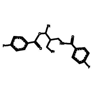 CCC(OC(=O)c1ccc(F)cc1)C(CNC(=O)c1ccc(F)cc1)CC(C)C